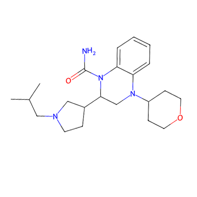 CC(C)CN1CCC(C2CN(C3CCOCC3)c3ccccc3N2C(N)=O)C1